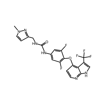 Cn1ccc(CNC(=O)Nc2cc(F)c(Oc3ccnc4[nH]cc(C(F)(F)F)c34)c(F)c2)n1